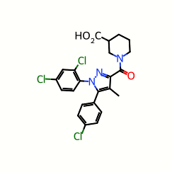 Cc1c(C(=O)N2CCCC(C(=O)O)C2)nn(-c2ccc(Cl)cc2Cl)c1-c1ccc(Cl)cc1